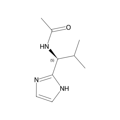 CC(=O)N[C@H](c1ncc[nH]1)C(C)C